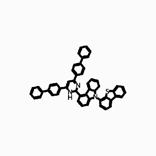 C1=CCC2C(=C1)c1c(C3N=C(c4ccc(-c5ccccc5)cc4)C=C(c4ccc(-c5ccccc5)cc4)N3)cccc1N2c1cccc2c1sc1ccccc12